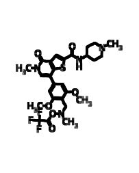 COc1cc(-c2cn(C)c(=O)c3cc(C(=O)NC4CCN(C)CC4)sc23)cc(OC)c1CN(C)OC(=O)C(F)(F)F